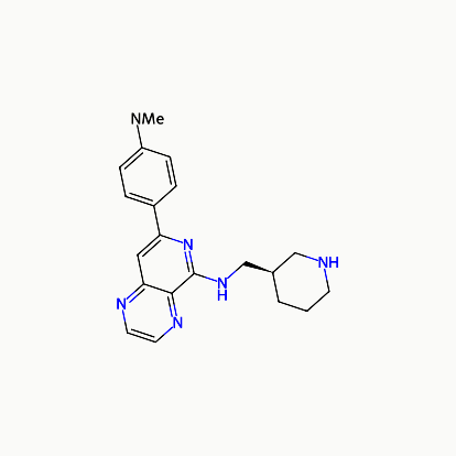 CNc1ccc(-c2cc3nccnc3c(NC[C@@H]3CCCNC3)n2)cc1